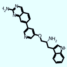 Nc1ncc2ccc(-c3cncc(OC[C@H](N)Cc4c[nH]c5ccccc45)c3)cc2n1